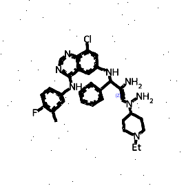 CCN1CCC(N(N)/C=C(\N)C(Nc2cc(Cl)c3ncnc(Nc4ccc(F)c(C)c4)c3c2)c2ccccc2)CC1